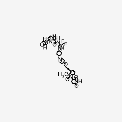 Cn1c(=O)n(C2CCC(=O)NC2=O)c2cccc(C#CCOC3CCN(C[C@H]4CC[C@@H](n5cc(NC(=O)c6cnn7ccc(N8C[C@H]9C[C@@H]8CO9)nc67)c(C(F)F)n5)CC4)CC3)c21